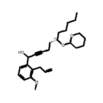 C=CCc1c(OC)cccc1C(O)C#CCC[C@H](CCCCC)OC1CCCCO1